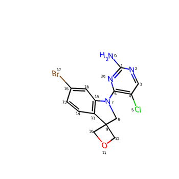 Nc1ncc(Cl)c(N2CC3(COC3)c3ccc(Br)cc32)n1